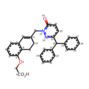 O=C(O)COc1cccc2c1CCC(Cn1nc(C(c3ccccc3)c3ccccc3)ccc1=O)=C2